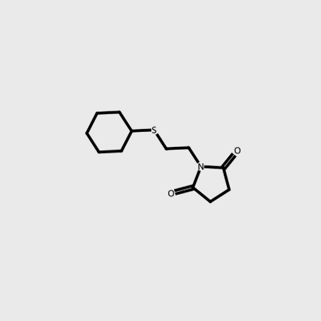 O=C1CCC(=O)N1CCSC1CCCCC1